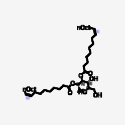 CCCCCCCC/C=C\CCCCCCCC(=O)O[C@@H]([C@H](O)[C@H](O)CO)[C@@H](OC(=O)CCCCCCC/C=C\CCCCCCCC)C(C)=O